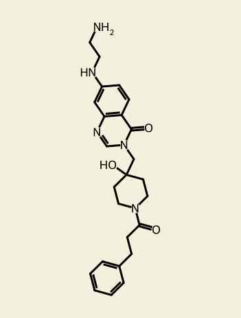 NCCNc1ccc2c(=O)n(CC3(O)CCN(C(=O)CCc4ccccc4)CC3)cnc2c1